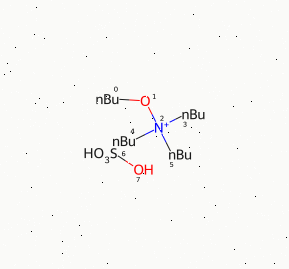 CCCCO[N+](CCCC)(CCCC)CCCC.O=S(=O)(O)O